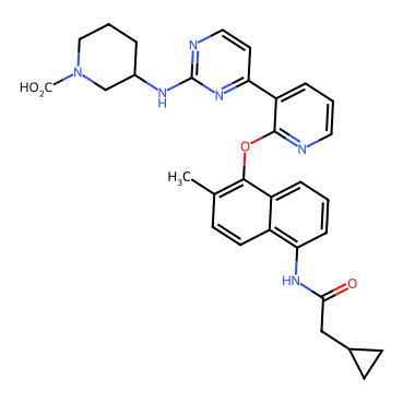 Cc1ccc2c(NC(=O)CC3CC3)cccc2c1Oc1ncccc1-c1ccnc(NC2CCCN(C(=O)O)C2)n1